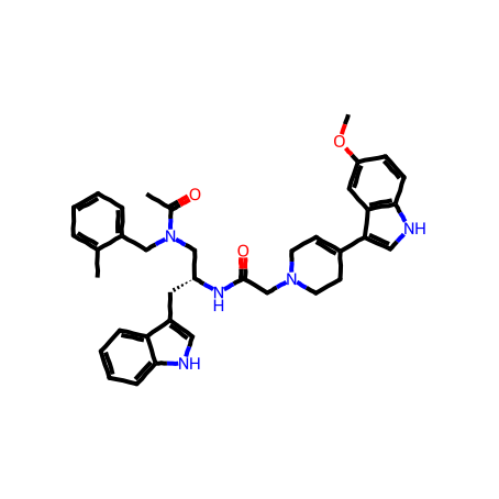 COc1ccc2[nH]cc(C3=CCN(CC(=O)N[C@H](Cc4c[nH]c5ccccc45)CN(Cc4ccccc4C)C(C)=O)CC3)c2c1